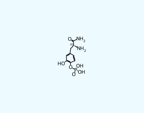 NC(=O)[C@@H](N)Cc1ccc(OP(=O)(O)O)c(O)c1